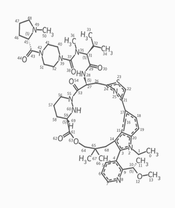 CCn1c(-c2cccnc2[C@H](C)OC)c2c3cc(ccc31)-c1csc(n1)C[C@H](NC(=O)[C@H](C(C)C)N(C)C(=O)N1CCN(C(=O)[C@@H]3CCCN3C)CC1)C(=O)N1CCC[C@H](N1)C(=O)OCC(C)(C)C2